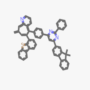 C=C1C=C(c2cccc3c2sc2ccccc23)C(c2ccc(-c3cc(-c4ccc5c(c4)C(C)(C)c4ccccc4-5)nc(-c4ccccc4)n3)cc2)=c2cccnc2=C1